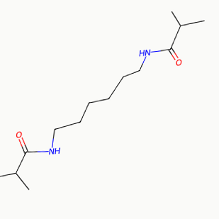 CC(C)C(=O)NCCCCCCNC(=O)C(C)C